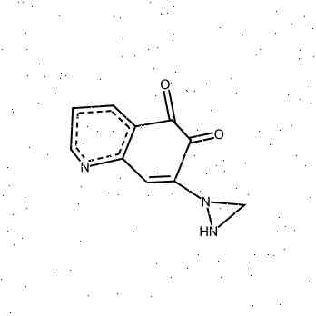 O=C1C(=O)c2cccnc2C=C1N1CN1